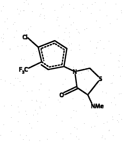 CNC1SCN(c2ccc(Cl)c(C(F)(F)F)c2)C1=O